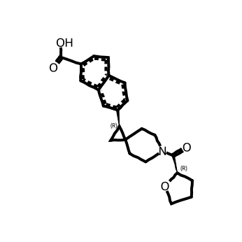 O=C(O)c1ccc2ccc([C@@H]3CC34CCN(C(=O)[C@H]3CCCO3)CC4)cc2c1